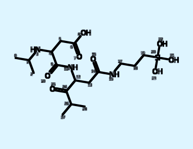 CC(C)NC(CC(=O)O)C(=O)NC(CC(=O)NCCC[Si](O)(O)O)C(=O)C(C)C